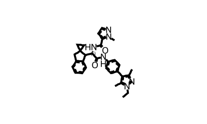 CCn1nc(C)c(-c2ccc(NC(=O)[C@@H](NC(=O)c3ccnn3C)C3c4ccccc4CC34CC4)cc2)c1C